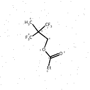 CCC(=O)OCC(C)(C(F)(F)F)C(F)(F)F